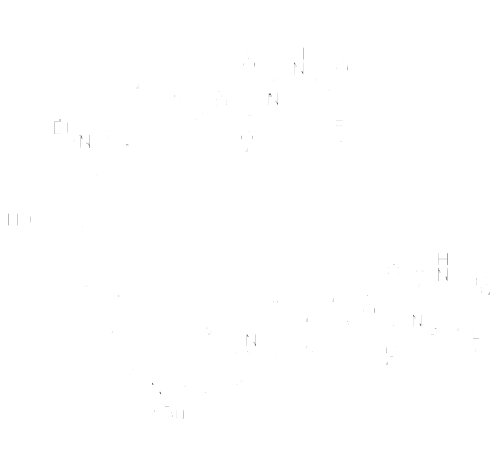 CCCCN(CCCCCCCCC(C)CCN(CC)c1ccc(CCOC(=O)n2cc(F)c(=O)[nH]c2=O)cc1)c1ccc(N2CCC(CCOC(=O)n3cc(F)c(=O)[nH]c3=O)CC2)cc1